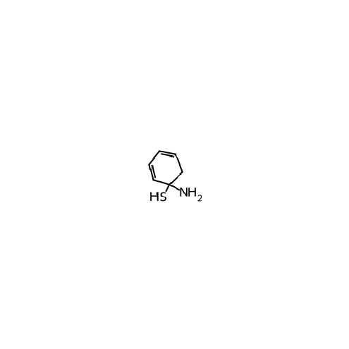 NC1(S)C=CC=CC1